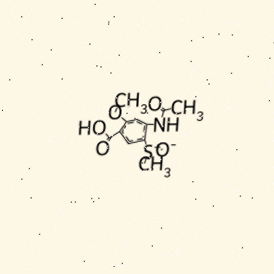 COc1cc(NC(C)=O)c([S+](C)[O-])cc1C(=O)O